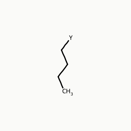 CCC[CH2][Y]